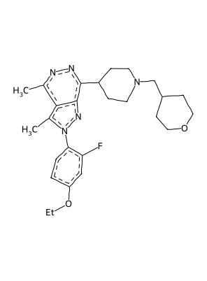 CCOc1ccc(-n2nc3c(C4CCN(CC5CCOCC5)CC4)nnc(C)c3c2C)c(F)c1